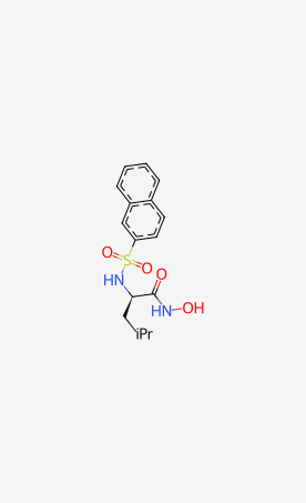 CC(C)C[C@@H](NS(=O)(=O)c1ccc2ccccc2c1)C(=O)NO